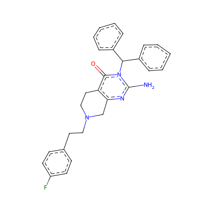 Nc1nc2c(c(=O)n1C(c1ccccc1)c1ccccc1)CCN(CCc1ccc(F)cc1)C2